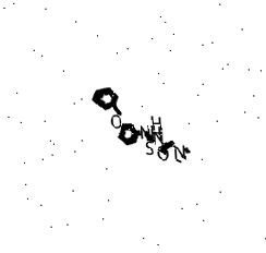 CN(C)CC(=O)NC(=S)Nc1cccc(OCc2ccccc2)c1